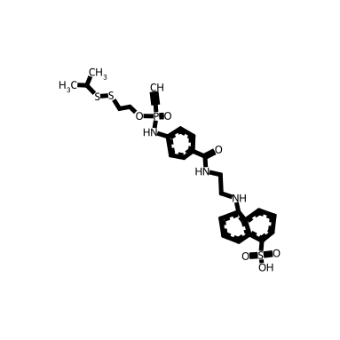 C#CP(=O)(Nc1ccc(C(=O)NCCNc2cccc3c(S(=O)(=O)O)cccc23)cc1)OCCSSC(C)C